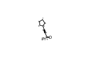 CC(C)C(=O)C#CC1CCCC1